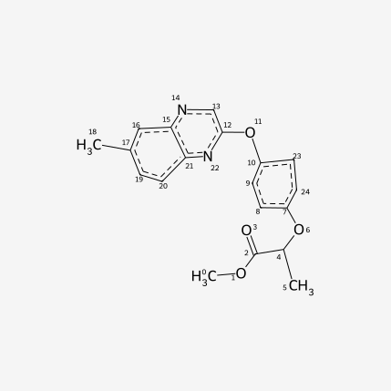 COC(=O)C(C)Oc1ccc(Oc2cnc3cc(C)ccc3n2)cc1